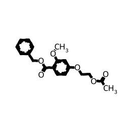 COc1cc(OCCOC(C)=O)ccc1C(=O)OCc1ccccc1